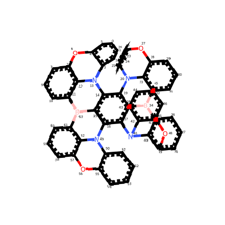 c1ccc2c(c1)Oc1cccc3c1N2c1c2c(c4c5c1N1c6ccccc6Oc6cccc(c61)B5c1cccc5c1N4c1ccccc1O5)N1c4ccccc4Oc4cccc(c41)B32